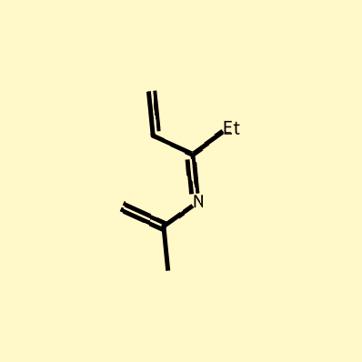 C=C/C(CC)=N\C(=C)C